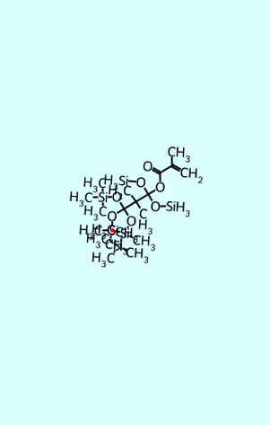 C=C(C)C(=O)OC(O[SiH3])(O[SiH3])C(C)(C)C(O[Si](C)(C)C)(O[Si](C)(C)C)O[Si](C)(C)[Si](C)(C)C